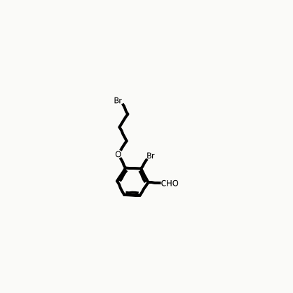 O=Cc1cccc(OCCCBr)c1Br